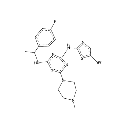 CC(C)c1cnc(Nc2nc(NC(C)c3ccc(F)cc3)nc(N3CCN(C)CC3)n2)s1